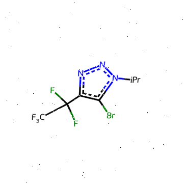 CC(C)n1nnc(C(F)(F)C(F)(F)F)c1Br